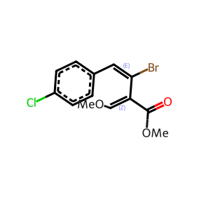 CO/C=C(C(=O)OC)\C(Br)=C/c1ccc(Cl)cc1